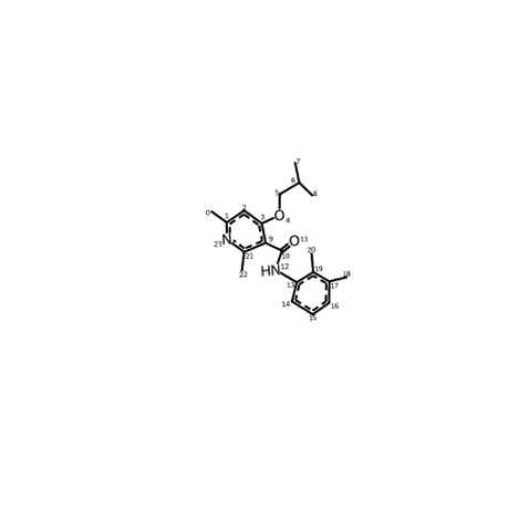 Cc1cc(OCC(C)C)c(C(=O)Nc2cccc(C)c2C)c(C)n1